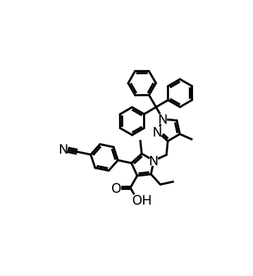 CCc1c(C(=O)O)c(-c2ccc(C#N)cc2)c(C)n1Cc1nn(C(c2ccccc2)(c2ccccc2)c2ccccc2)cc1C